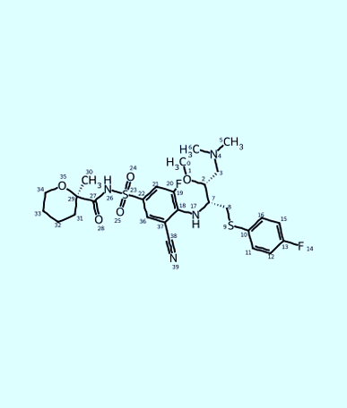 CO[C@H](CN(C)C)[C@H](CSc1ccc(F)cc1)Nc1c(F)cc(S(=O)(=O)NC(=O)[C@@]2(C)CCCCO2)cc1C#N